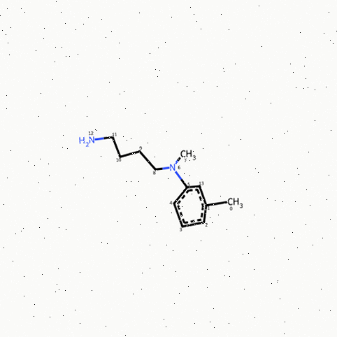 Cc1cccc(N(C)CCCCN)c1